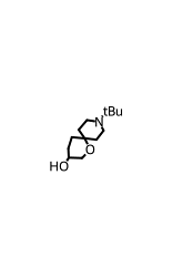 CC(C)(C)N1CCC2(CCC(O)CO2)CC1